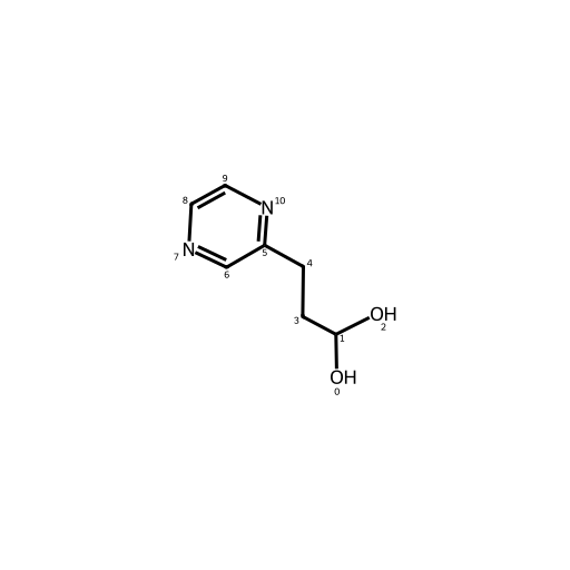 OC(O)CCc1cnccn1